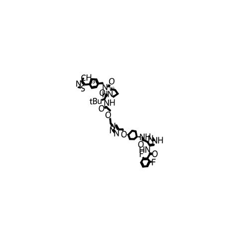 Cc1ncsc1-c1ccc(CNC(=O)[C@@H]2CCCN2C(=O)C(NC(=O)COCCn2cc(CO[C@H]3CC[C@H](NC(=O)c4n[nH]cc4NC(=O)c4c(F)cccc4F)CC3)nn2)C(C)(C)C)cc1